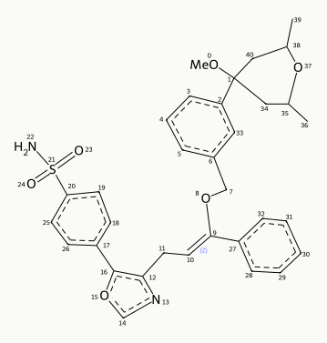 COC1(c2cccc(CO/C(=C\Cc3ncoc3-c3ccc(S(N)(=O)=O)cc3)c3ccccc3)c2)CC(C)OC(C)C1